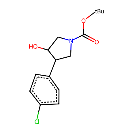 CC(C)(C)OC(=O)N1CC(O)C(c2ccc(Cl)cc2)C1